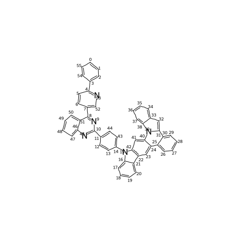 c1ccc(-c2ccc(-c3nc(-c4ccc(-n5c6ccccc6c6cc7c8ccccc8c8cc9ccccc9n8c7cc65)cc4)nc4ccccc34)cn2)cc1